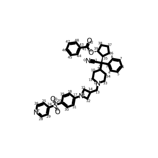 N#CC(c1ccccc1)(C1CCN(CC2CN(c3ccc(S(=O)(=O)c4ccncc4)cc3)C2)CC1)[C@@H]1CCC[C@H]1OC(=O)c1ccccc1